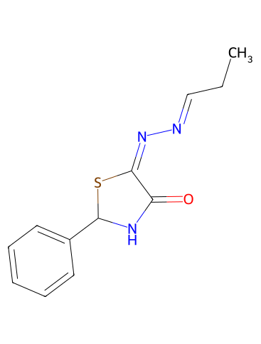 CCC=NN=C1SC(c2ccccc2)NC1=O